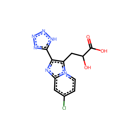 O=C(O)C(O)Cc1c(-c2nnn[nH]2)nc2cc(Cl)ccn12